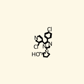 OC[C@H]1CCCN1c1cnc(-c2ccc(Cl)cc2)c(-c2ccncc2Cl)n1